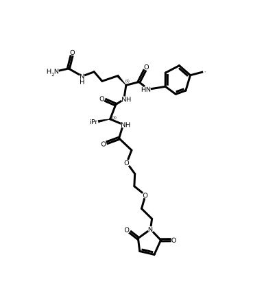 [CH2]c1ccc(NC(=O)[C@H](CCCNC(N)=O)NC(=O)[C@@H](NC(=O)COCCOCCN2C(=O)C=CC2=O)C(C)C)cc1